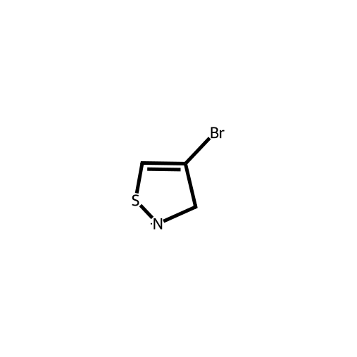 BrC1=CS[N]C1